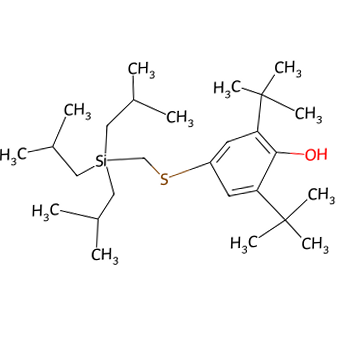 CC(C)C[Si](CSc1cc(C(C)(C)C)c(O)c(C(C)(C)C)c1)(CC(C)C)CC(C)C